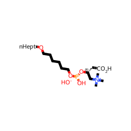 CCCCCCCOCCCCCCOP(O)O[C@H](CC(=O)O)C[N+](C)(C)C.[OH-]